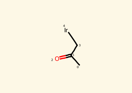 CC(=O)[CH2][Ir]